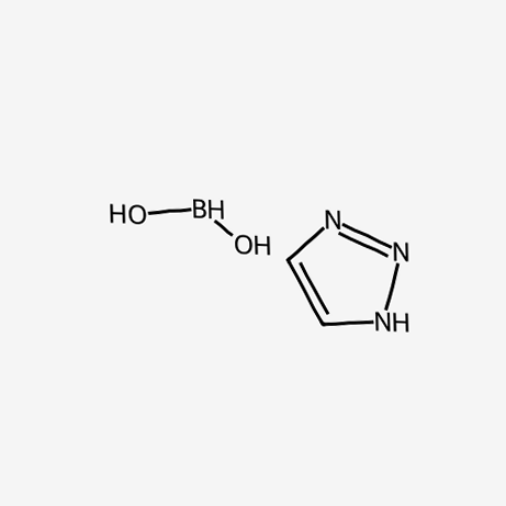 OBO.c1c[nH]nn1